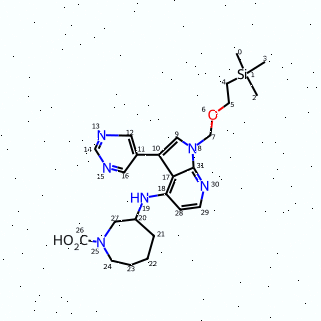 C[Si](C)(C)CCOCn1cc(-c2cncnc2)c2c(NC3CCCCN(C(=O)O)C3)ccnc21